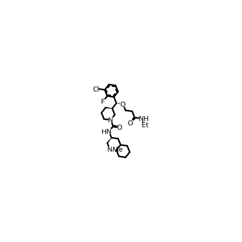 CCNC(=O)CCO[C@@H](c1cccc(Cl)c1F)[C@@H]1CCCN(C(=O)N[C@H](CNC)CC2CCCCC2)C1